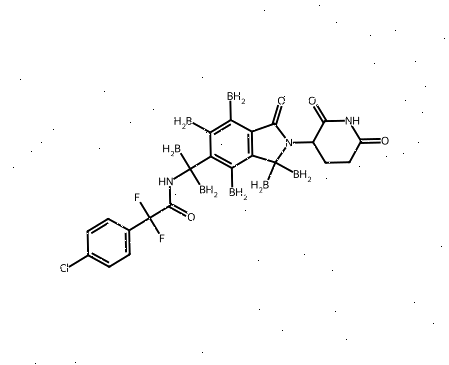 Bc1c(B)c(C(B)(B)NC(=O)C(F)(F)c2ccc(Cl)cc2)c(B)c2c1C(=O)N(C1CCC(=O)NC1=O)C2(B)B